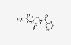 CC(C)O[C@H]1CCN(C(=O)c2cnccn2)C[C@H]1F